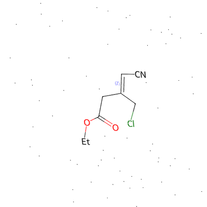 CCOC(=O)C/C(=C/C#N)CCl